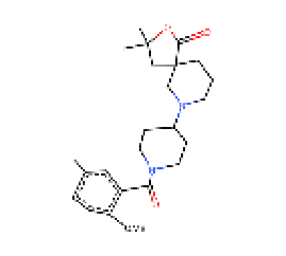 COc1ccc(C)cc1C(=O)N1CCC(N2CCCC3(C2)CC(C)(C)OC3=O)CC1